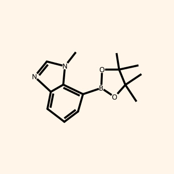 Cn1cnc2cccc(B3OC(C)(C)C(C)(C)O3)c21